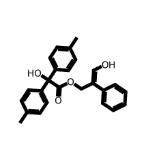 Cc1ccc(C(O)(C(=O)OCC(=CO)c2ccccc2)c2ccc(C)cc2)cc1